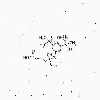 CC(C)(SCCC(=O)O)Sc1cc(C(C)(C)C)c(O)c(C(C)(C)C)c1